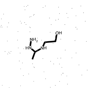 CC(NN)NCCO